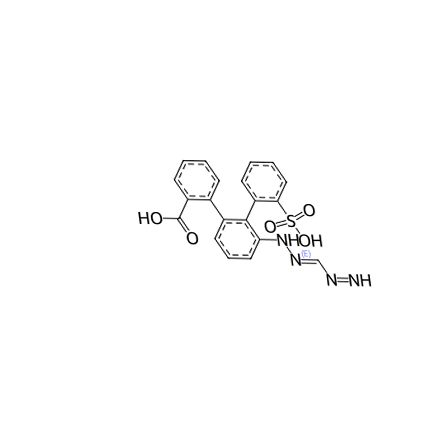 N=N/C=N/Nc1cccc(-c2ccccc2C(=O)O)c1-c1ccccc1S(=O)(=O)O